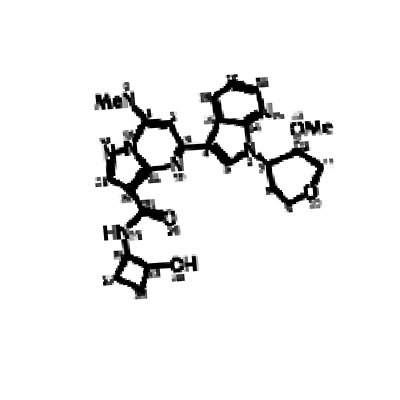 CNc1cc(-c2cn([C@@H]3CCOC[C@H]3OC)c3ncccc23)nc2c(C(=O)NC3CCC3O)cnn12